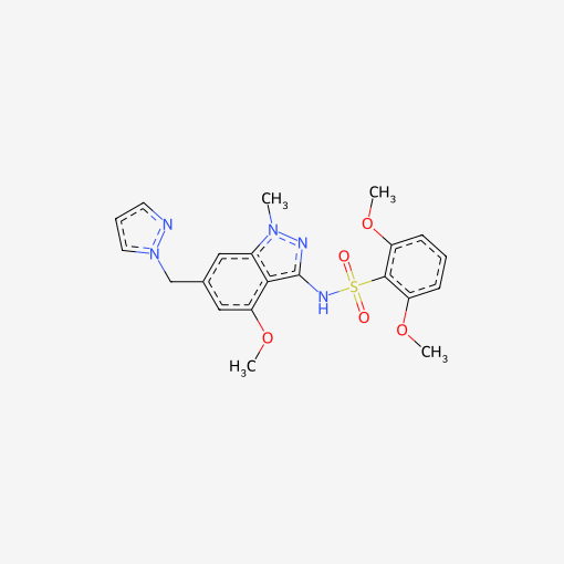 COc1cccc(OC)c1S(=O)(=O)Nc1nn(C)c2cc(Cn3cccn3)cc(OC)c12